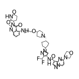 Cc1nc2cccc(NCCCOC3CCN(C[C@H]4CC[C@H](n5cc(NC(=O)c6cnn7ccc(N8CCOCC8)nc67)c(C(F)F)n5)CC4)CC3)c2c(=O)n1C1CCC(=O)NC1=O